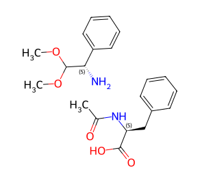 CC(=O)N[C@@H](Cc1ccccc1)C(=O)O.COC(OC)[C@@H](N)c1ccccc1